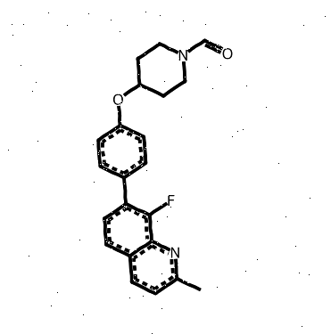 Cc1ccc2ccc(-c3ccc(OC4CCN(C=O)CC4)cc3)c(F)c2n1